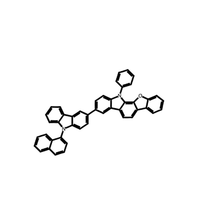 c1ccc(-n2c3ccc(-c4ccc5c(c4)c4ccccc4n5-c4cccc5ccccc45)cc3c3ccc4c5ccccc5oc4c32)cc1